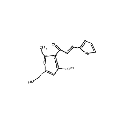 COc1cc(CO)cc(C)c1C(=O)/C=C/c1cccs1